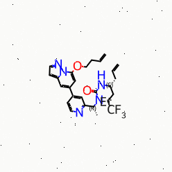 C=CCCOc1cc(-c2ccnc([C@@H](C)N(CC)C(=O)N[C@H](CC=C)CCC(F)(F)F)c2)cc2ccnn12